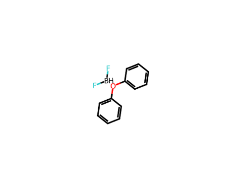 FBF.c1ccc(Oc2ccccc2)cc1